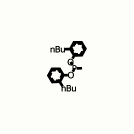 CCCCc1ccccc1OP(C)Oc1ccccc1CCCC